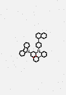 c1ccc(-c2ccccc2N(c2ccc(-c3cccc4ccccc34)cc2)c2cccc(-n3c4ccccc4c4ccccc43)c2)cc1